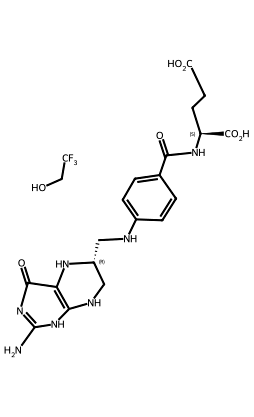 Nc1nc(=O)c2c([nH]1)NC[C@@H](CNc1ccc(C(=O)N[C@@H](CCC(=O)O)C(=O)O)cc1)N2.OCC(F)(F)F